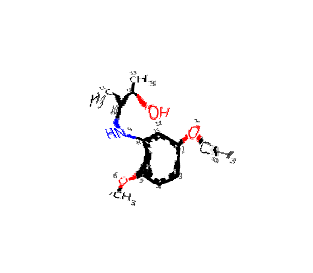 COc1ccc(OC)c(NC(C)C(C)O)c1